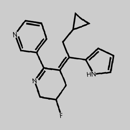 FC1CN=C(c2cccnc2)C(=C(CC2CC2)c2ccc[nH]2)C1